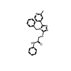 Cc1cc(-c2nnc(SCC(=O)Nc3ccccc3)n2Cc2ccccc2)ccn1